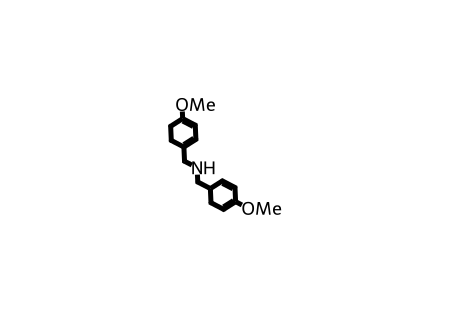 COC1=CCC(CNCC2=CC=C(OC)CC2)C=C1